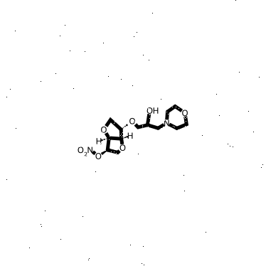 O=[N+]([O-])O[C@@H]1CO[C@H]2[C@@H]1OC[C@@H]2OCC(O)CN1CCOCC1